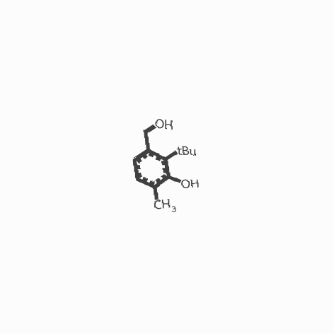 Cc1ccc(CO)c(C(C)(C)C)c1O